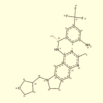 Cc1nc(N[C@H](C)c2cc(N)cc(C(F)(F)F)c2)c2cc3c(cc2n1)CCN3CC1CCOC1